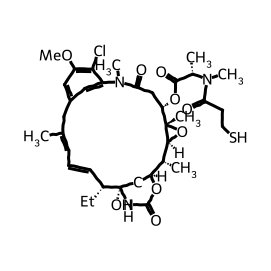 CC[C@@H]1/C=C/C=C(\C)Cc2cc(OC)c(Cl)c(c2)N(C)C(=O)C[C@H](OC(=O)[C@H](C)N(C)C(=O)CCS)[C@]2(C)O[C@H]2[C@H](C)[C@@H]2C[C@@]1(O)NC(=O)O2